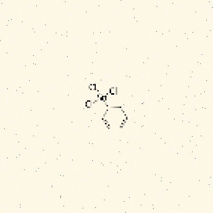 [Cl][Sn]([Cl])([Cl])[c]1ccccc1